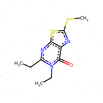 CCc1nc2sc(SC)nc2c(=O)n1CC